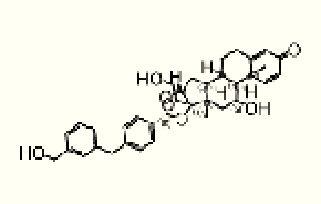 C[C@]12C=CC(=O)C=C1CC[C@@H]1[C@@H]2[C@@H](O)C[C@@]2(C)[C@H]1C[C@H]1O[C@@H](c3ccc(Cc4cccc(CO)c4)cc3)O[C@]12C(=O)CO